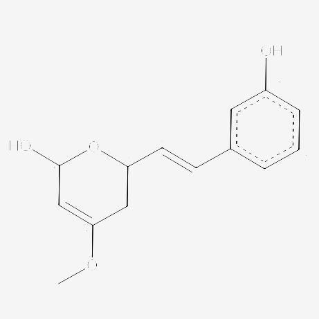 COC1=CC(O)OC(/C=C/c2cccc(O)c2)C1